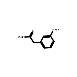 CNc1cccc(CC(=O)OC)c1